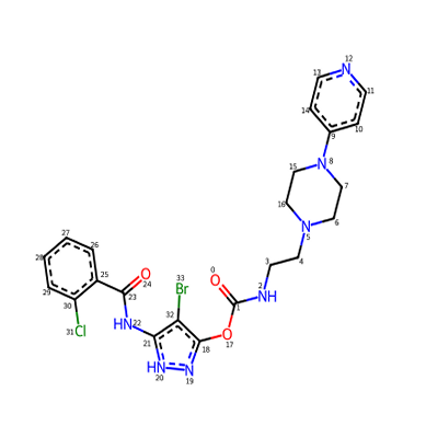 O=C(NCCN1CCN(c2ccncc2)CC1)Oc1n[nH]c(NC(=O)c2ccccc2Cl)c1Br